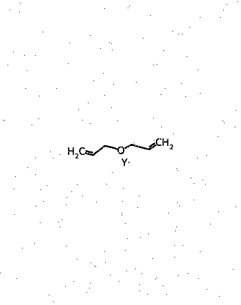 C=CCOCC=C.[Y]